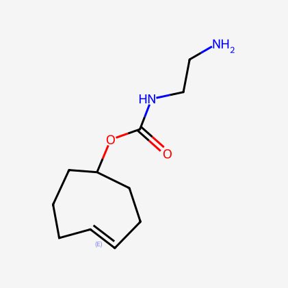 NCCNC(=O)OC1CC/C=C/CCC1